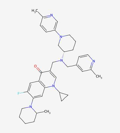 Cc1ccc(N2CCC[C@H](N(Cc3ccnc(C)c3)Cc3cn(C4CC4)c4cc(N5CCCCC5C)c(F)cc4c3=O)C2)cn1